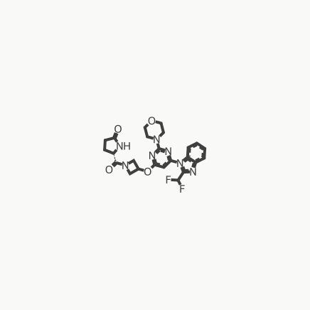 O=C1CC[C@@H](C(=O)N2CC(Oc3cc(-n4c(C(F)F)nc5ccccc54)nc(N4CCOCC4)n3)C2)N1